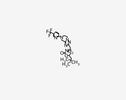 CC(C)(C)CC(COCc1nc2n(n1)CCN(c1ccc(C(F)(F)F)cn1)C2)OC(N)=O